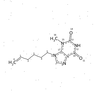 C=CCCCCn1cnc2c(=O)[nH]c(=O)n(C)c21